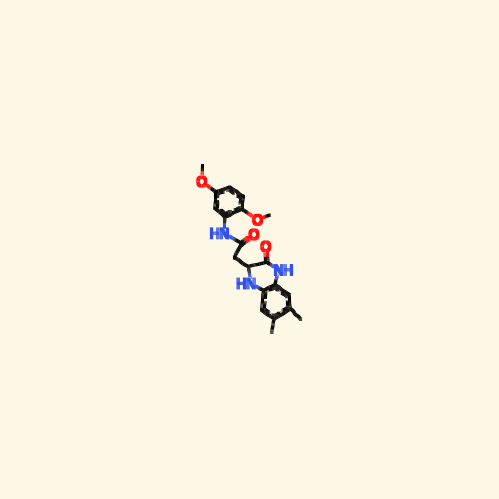 COc1ccc(OC)c(NC(=O)CC2Nc3cc(C)c(C)cc3NC2=O)c1